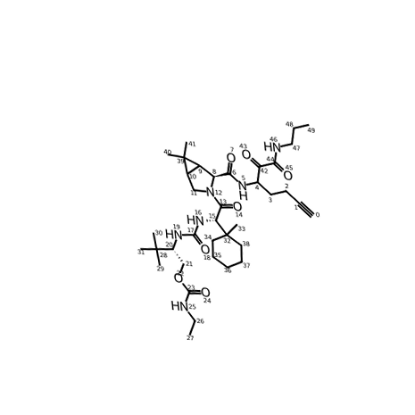 C#CCCC(NC(=O)[C@@H]1C2C(CN1C(=O)[C@@H](NC(=O)N[C@H](COC(=O)NCC)C(C)(C)C)C1(C)CCCCC1)C2(C)C)C(=O)C(=O)NCCC